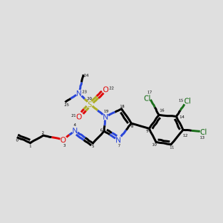 C=CCO/N=C/c1nc(-c2ccc(Cl)c(Cl)c2Cl)cn1S(=O)(=O)N(C)C